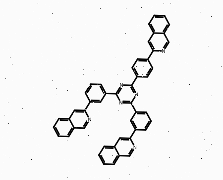 c1cc(-c2cc3ccccc3cn2)cc(-c2nc(-c3ccc(-c4cc5ccccc5cn4)cc3)nc(-c3cccc(-c4cc5ccccc5cn4)c3)n2)c1